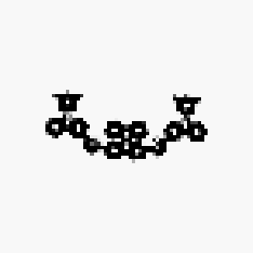 Cc1cc(C)cc(-n2c3ccccc3c3cc(-c4ccc(-c5ccc6c(c5)C5(c7ccccc7-c7ccccc75)c5cc(-c7ccc(-c8ccc9c(c8)c8ccccc8n9-c8cc(C)cc(C)c8)s7)ccc5-6)s4)ccc32)c1